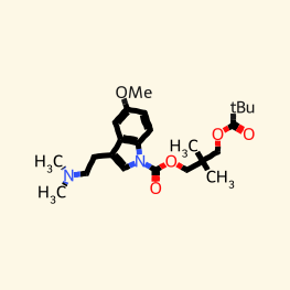 COc1ccc2c(c1)c(CCN(C)C)cn2C(=O)OCC(C)(C)COC(=O)C(C)(C)C